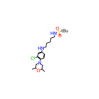 CC1CN(c2ccc(NCCCCCNS(=O)(=O)C(C)(C)C)cc2Cl)CC(C)O1